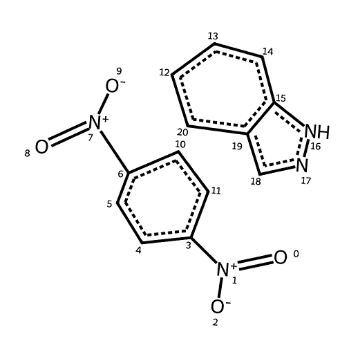 O=[N+]([O-])c1ccc([N+](=O)[O-])cc1.c1ccc2[nH]ncc2c1